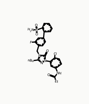 CCCCc1nn(-c2cc(NC(=O)CC)ccc2Cl)c(=O)n1Cc1ccc(-c2ccccc2S(N)(=O)=O)cc1F